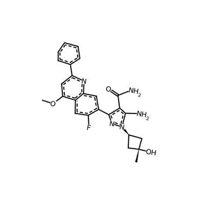 COc1cc(-c2ccccc2)nc2cc(-c3nn([C@H]4C[C@](C)(O)C4)c(N)c3C(N)=O)c(F)cc12